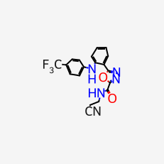 N#CCCNC(=O)c1nnc(-c2ccccc2Nc2ccc(C(F)(F)F)cc2)o1